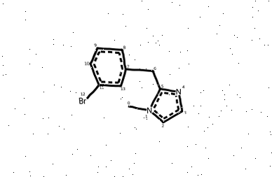 Cn1ccnc1Cc1cccc(Br)c1